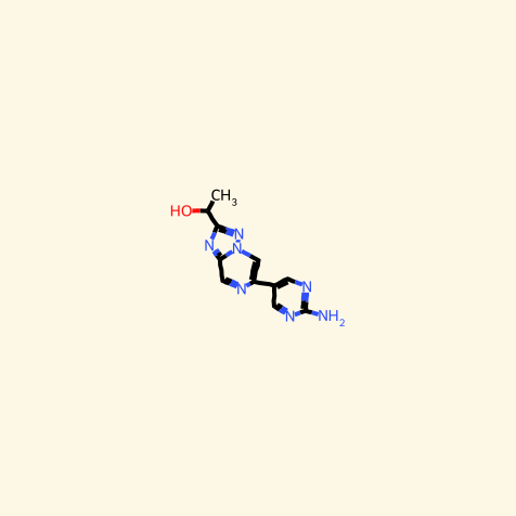 CC(O)c1nc2cnc(-c3cnc(N)nc3)cn2n1